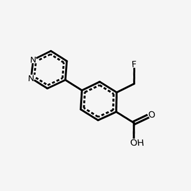 O=C(O)c1ccc(-c2ccnnc2)cc1CF